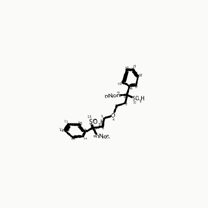 CCCCCCCCCC(CCOCCC(CCCCCCCCC)(c1ccccc1)S(=O)(=O)O)(c1ccccc1)S(=O)(=O)O